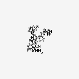 N#Cc1c(N)sc2c(F)ccc(-c3ncc4c(N5CCCC6(CN(C(=O)n7cncn7)C6)C5)nc(OC[C@@]56CCCN5C[C@H](F)C6)nc4c3F)c12